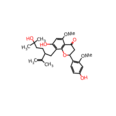 C=C(C)C(CCC(C)(C)O)Cc1c(O)cc(OC)c2c1OC(c1ccc(O)cc1OC)CC2=O